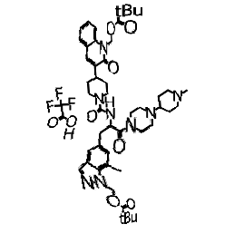 Cc1cc(CC(NC(=O)N2CCC(c3cc4ccccc4n(COC(=O)C(C)(C)C)c3=O)CC2)C(=O)N2CCN(C3CCN(C)CC3)CC2)cc2cnn(COC(=O)C(C)(C)C)c12.O=C(O)C(F)(F)F